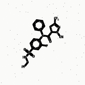 CC(C)CNS(=O)(=O)c1ccc(N(C(=O)C2CC(C(F)(F)F)=NN2C#N)c2ccccc2)c(F)c1